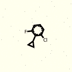 Fc1[c]ccc(Cl)c1C1CC1